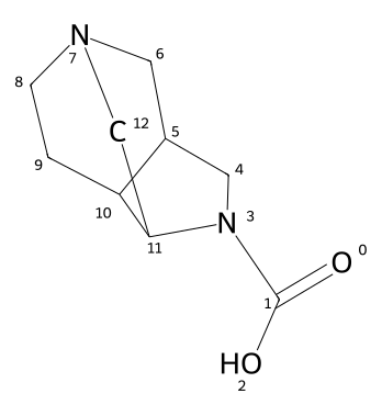 O=C(O)N1CC2CN3CCC2C1C3